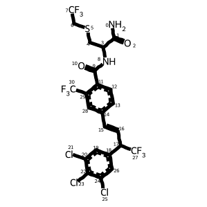 NC(=O)C(CSCC(F)(F)F)NC(=O)c1ccc(/C=C/C(c2cc(Cl)c(Cl)c(Cl)c2)C(F)(F)F)cc1C(F)(F)F